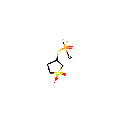 CP(C)(=O)SC1CCS(=O)(=O)C1